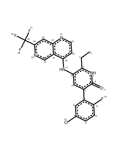 CCc1[nH]c(=O)c(-c2cc(Cl)ccc2F)cc1Nc1ccnc2cc(C(F)(F)F)ncc12